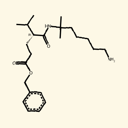 CC(C)[C@@H](CCC(=O)OCc1ccccc1)C(=O)NC(C)(C)CCCCCN